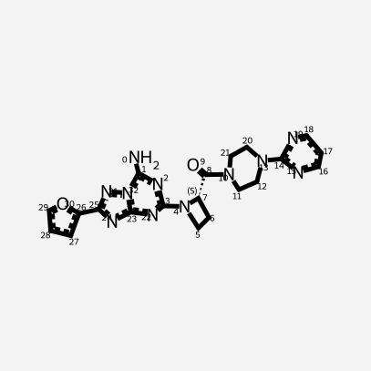 Nc1nc(N2CC[C@H]2C(=O)N2CCN(c3ncccn3)CC2)nc2nc(-c3ccco3)nn12